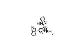 Bn1nc(-c2nc3ccccc3[nH]2)c2cc(-c3cncc4ccccc34)cnc21